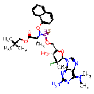 C[C@H](C(=O)OCC(C)(C)C)N(Oc1cccc2ccccc12)[PH](=S)OC[C@H]1O[C@@H](n2cnc3c(N(C)C)nc(N)nc32)[C@](C)(F)[C@@H]1O